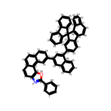 c1ccc(-c2nc3ccc4ccc5ccc(-c6cc(-c7ccc8c(c7)C7(c9ccccc9-c9ccccc97)c7c-8ccc8ccccc78)c7ccccc7c6)cc5c4c3o2)cc1